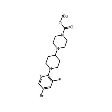 CC(C)(C)OC(=O)N1CCN(C2CCN(c3ncc(Br)cc3F)CC2)CC1